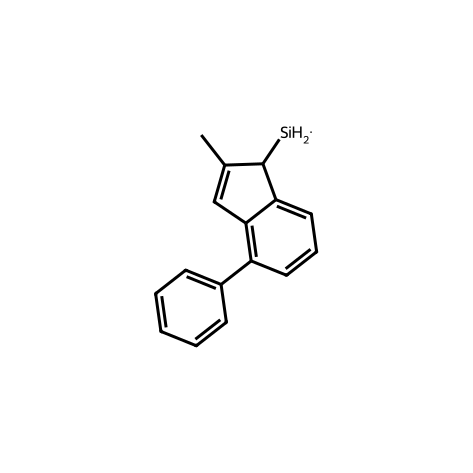 CC1=Cc2c(-c3ccccc3)cccc2C1[SiH2]